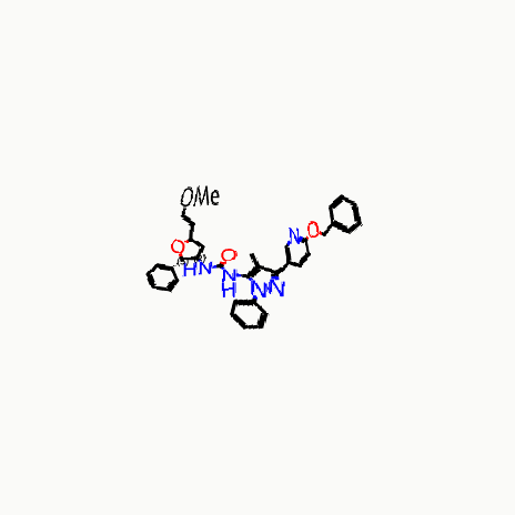 COCCC1C[C@@H](NC(=O)Nc2c(C)c(-c3ccc(OCc4ccccc4)nc3)nn2-c2ccccc2)[C@H](c2ccccc2)O1